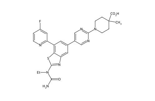 CCN(C(N)=O)c1nc2cc(-c3cnc(N4CCC(C)(C(=O)O)CC4)nc3)cc(-c3cc(F)ccn3)c2s1